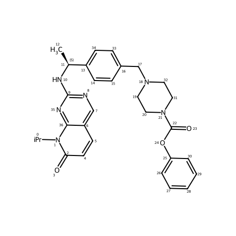 CC(C)n1c(=O)ccc2cnc(N[C@@H](C)c3ccc(CN4CCN(C(=O)Oc5ccccc5)CC4)cc3)nc21